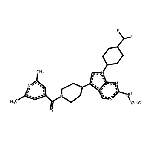 CCC[C@H](C)Nc1ncc2c(C3CCN(C(=O)c4cc(C)nc(C)c4)CC3)cn(C3CCC(C(F)F)CC3)c2n1